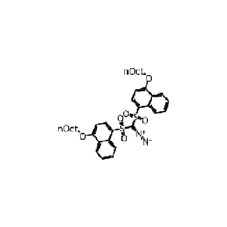 CCCCCCCCOc1ccc(S(=O)(=O)C(=[N+]=[N-])S(=O)(=O)c2ccc(OCCCCCCCC)c3ccccc23)c2ccccc12